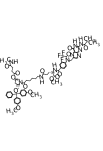 CNC(=O)CCC(=O)O[C@@H]1C[C@@H](COC(c2ccccc2)(c2ccc(OC)cc2)c2ccc(OC)cc2)N(C(=O)CCCCCNC(=O)CC[C@H](NC(=O)c2ccc(N(Cc3cnc4nc(NC(=O)C(C)C)[nH]c(=O)c4n3)C(=O)C(F)(F)F)cc2)C(=O)OC)C1